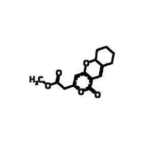 COC(=O)Cc1cc2c(c(=O)o1)C=C1CCCCC1O2